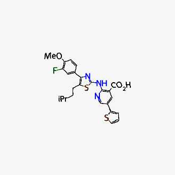 COc1ccc(-c2nc(Nc3ncc(-c4cccs4)cc3C(=O)O)sc2CCC(C)C)cc1F